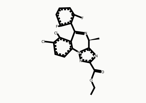 CCOC(=O)c1nc2n(n1)-c1ccc(Cl)c(Cl)c1C(c1c(F)cccc1F)=N[C@H]2C